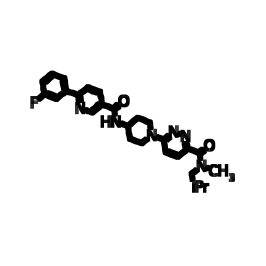 CC(C)CN(C)C(=O)c1ccc(N2CCC(NC(=O)c3ccc(-c4cccc(F)c4)nc3)CC2)nn1